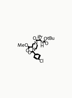 COC(=O)C1CN(C(=O)C(NC(=O)OC(C)(C)C)C(C)C)CCN1C(=O)c1ccc(Cl)cc1